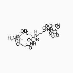 COc1ccc(-c2cnoc2-c2cc(OC)c(OC)c(OC)c2)cc1NC(=O)CCCCCNC1=C2C[C@@H](C)C[C@H](OC)[C@@H](O)[C@@H](C)/C=C(\C)[C@H](OC(N)=O)[C@@H](OC)/C=C\C=C(/C)C(=O)NC(=CC1=O)C2=O